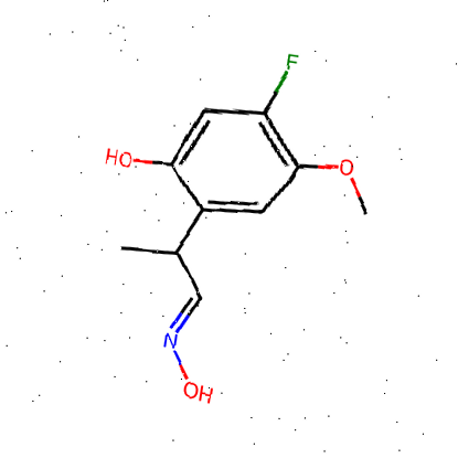 COc1cc(C(C)C=NO)c(O)cc1F